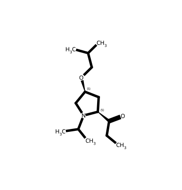 CCC(=O)[C@@H]1C[C@H](OCC(C)C)CN1C(C)C